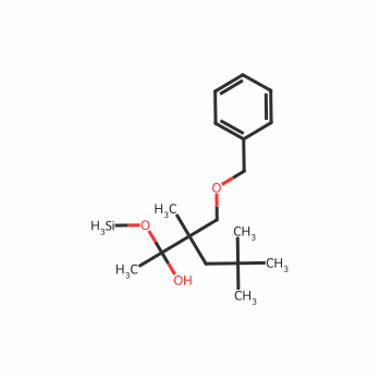 CC(C)(C)CC(C)(COCc1ccccc1)C(C)(O)O[SiH3]